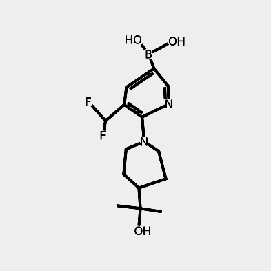 CC(C)(O)C1CCN(c2ncc(B(O)O)cc2C(F)F)CC1